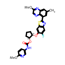 COc1ccc(NC(=O)O[C@@H]2CCC[C@@H]2Oc2cc3sc(-c4cc(C)cc5nc(OC)cnc45)nc3cc2F)cn1